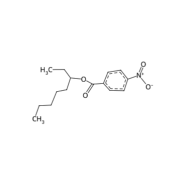 CCCCCC(CC)OC(=O)c1ccc([N+](=O)[O-])cc1